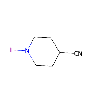 N#CC1CCN(I)CC1